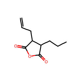 C=CCC1C(=O)OC(=O)C1CCC